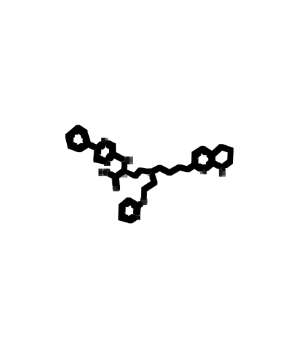 O=C(O)[C@H](CCN(CCCCc1ccc2c(n1)NCCC2)CCOc1ccccn1)Nc1cnc(-c2ccccc2)cn1